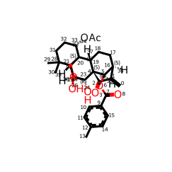 C=C1C(=O)[C@]23[C@H](OC(=O)c4ccc(C)cc4)[C@H]1CC[C@H]2[C@@]12CO[C@@]3(O)[C@@H](O)[C@@H]1C(C)(C)CC[C@@H]2OC(C)=O